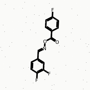 O=C(ON=Cc1ccc(F)c(F)c1)c1ccc(F)cc1